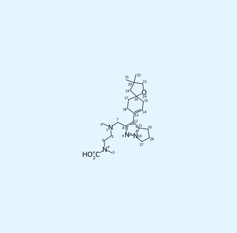 CN(CCN(C)C(=O)O)Cc1nn2c(c1C1=CCC3(CC1)CC(C)(C)CO3)CCC2